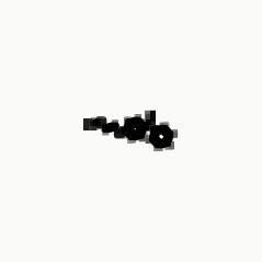 CCOCCOc1ccc(NC2CCCCC2)cc1